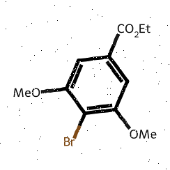 CCOC(=O)c1cc(OC)c(Br)c(OC)c1